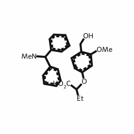 CCC(Oc1ccc(CO)c(OC)c1)C(=O)O.CNC(c1ccccc1)c1ccccc1